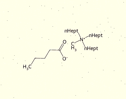 CCCCC(=O)[O-].CCCCCCC[N+](C)(CCCCCCC)CCCCCCC